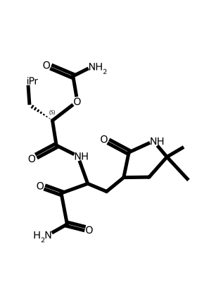 CC(C)C[C@H](OC(N)=O)C(=O)NC(CC1CC(C)(C)NC1=O)C(=O)C(N)=O